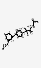 COCc1cccc(-c2ccc(C(C)(C)C(=O)NCC(C)C)cc2)c1